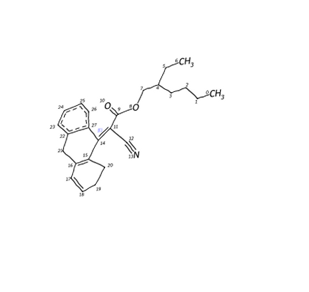 CCCCC(CC)COC(=O)/C(C#N)=C1/C2=C(C=CCC2)Cc2ccccc21